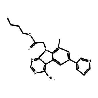 CCCCOC(=O)Cn1c2ncnc(N)c2c2cc(-c3cccnc3)cc(C)c21